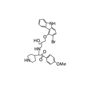 COc1ccc(S(=O)(=O)C(NC[C@H](O)COc2c(Br)ccc3[nH]c4ccccc4c23)C2CCNCC2)cc1